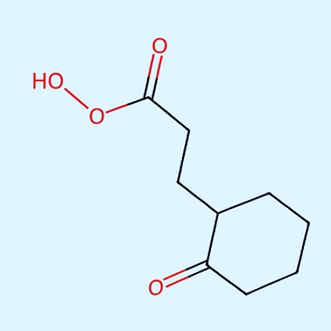 O=C(CCC1CCCCC1=O)OO